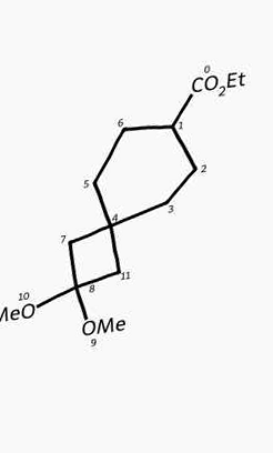 CCOC(=O)C1CCC2(CC1)CC(OC)(OC)C2